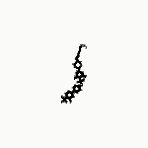 CCCC/C=C/C1COC(c2cc(F)c(C(F)(F)Oc3ccc(-c4ccc(C(F)(F)F)c(F)c4)cc3)c(F)c2)OC1